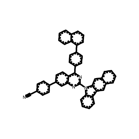 N#Cc1ccc(-c2ccc3c(-c4ccc(-c5cccc6ccccc56)cc4)nc(-n4c5ccccc5c5cc6ccccc6cc54)nc3c2)cc1